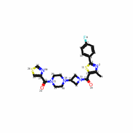 Cc1nc(-c2ccc(F)cc2)sc1C(=O)N1CC(N2CCN(C(=O)c3cscn3)CC2)C1